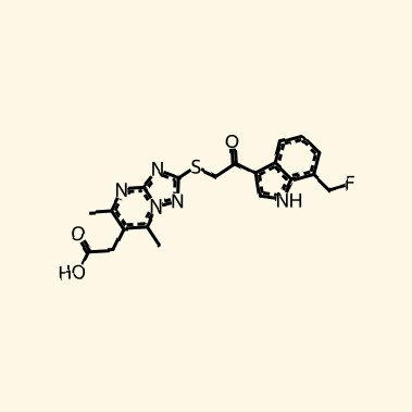 Cc1nc2nc(SCC(=O)c3c[nH]c4c(CF)cccc34)nn2c(C)c1CC(=O)O